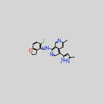 Cc1cc2c(-c3cc(C)nn3C)cnc(NCc3c(F)ccc4c3CCO4)c2cn1